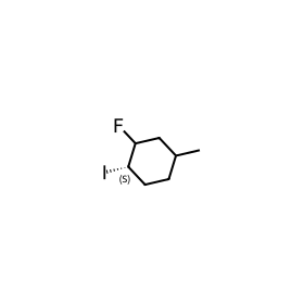 CC1CC[C@H](I)C(F)C1